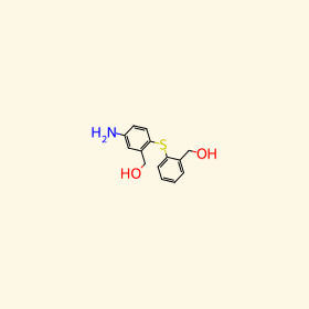 Nc1ccc(Sc2ccccc2CO)c(CO)c1